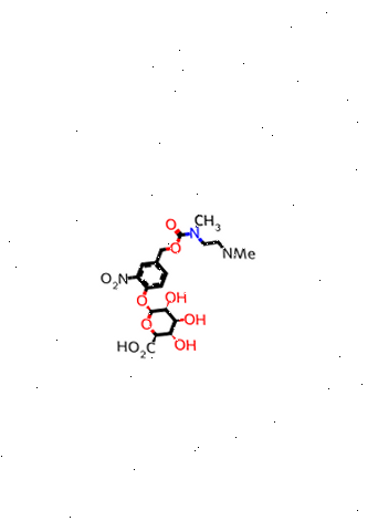 CNCCN(C)C(=O)OCc1ccc(O[C@@H]2O[C@H](C(=O)O)[C@@H](O)[C@H](O)[C@H]2O)c([N+](=O)[O-])c1